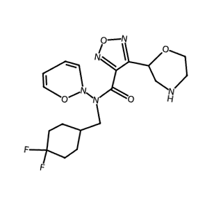 O=C(c1nonc1C1CNCCO1)N(CC1CCC(F)(F)CC1)N1C=CC=CO1